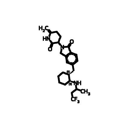 C=C1CCC(N2Cc3cc(C[C@H]4CCCC[C@@H]4NC(C)CC(F)(F)F)ccc3C2=O)C(=O)N1